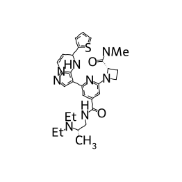 CCN(CC)[C@@H](C)CNC(=O)c1cc(-c2cnn3c2NC(c2cccs2)C=C3)nc(N2CC[C@H]2C(=O)NC)c1